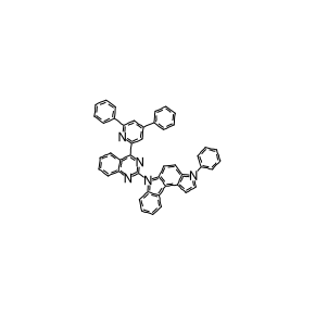 c1ccc(-c2cc(-c3ccccc3)nc(-c3nc(-n4c5ccccc5c5c6ccn(-c7ccccc7)c6ccc54)nc4ccccc34)c2)cc1